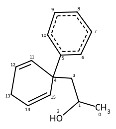 CC(O)CC1(c2ccccc2)C=CCC=C1